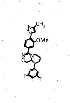 COc1cc(C2=NOCC3C(c4cc(F)cc(F)c4)CCCN23)ccc1-n1cnc(C)c1